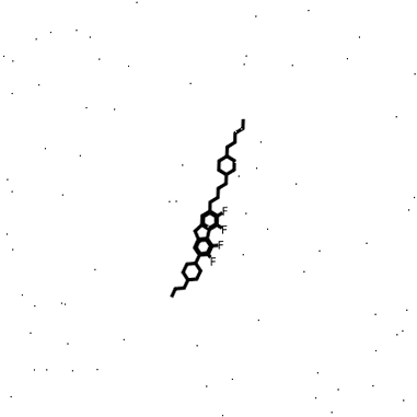 CCCCCC1CCC(CCCCc2cc3c(c(F)c2F)-c2c(cc(C4CCC(CCC)CC4)c(F)c2F)C3)CC1